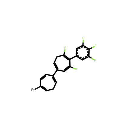 CCC1=CCC=C(C2=CCC(F)=C(c3cc(F)c(F)c(F)c3)C(F)=C2)C=C1